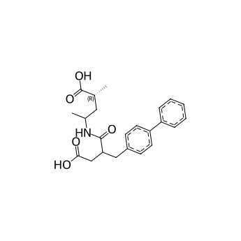 CC(C[C@@H](C)C(=O)O)NC(=O)C(CC(=O)O)Cc1ccc(-c2ccccc2)cc1